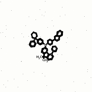 CC1(C)c2ccc(N(c3ccc(-c4ccc5ccccc5c4)cc3)c3ccc(C4(c5ccccc5)CCCCC4)cc3)cc2-c2c(-c3ccccc3)cccc21